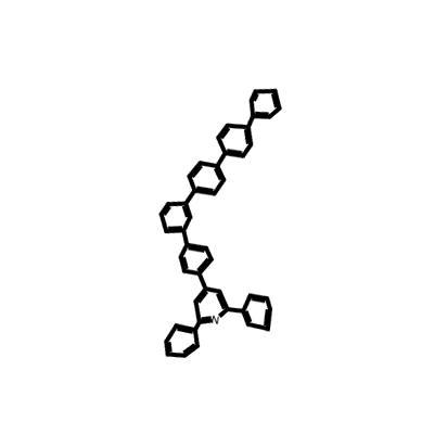 c1ccc(-c2ccc(-c3ccc(-c4cccc(-c5ccc(-c6cc(-c7ccccc7)nc(-c7ccccc7)c6)cc5)c4)cc3)cc2)cc1